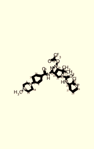 CN1CCN(c2ccc(C(=O)Nc3nn(OC(=O)C(F)(F)F)c4c3CN(C(=O)Nc3cccnc3Cl)C4(C)C)cc2)CC1